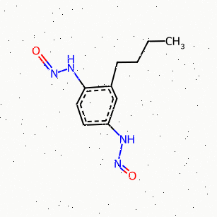 CCCCc1cc(NN=O)ccc1NN=O